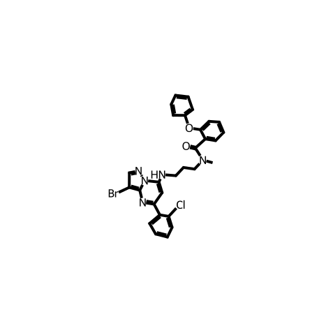 CN(CCCNc1cc(-c2ccccc2Cl)nc2c(Br)cnn12)C(=O)c1ccccc1Oc1ccccc1